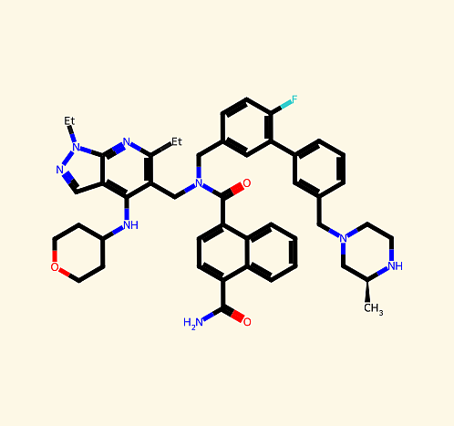 CCc1nc2c(cnn2CC)c(NC2CCOCC2)c1CN(Cc1ccc(F)c(-c2cccc(CN3CCN[C@@H](C)C3)c2)c1)C(=O)c1ccc(C(N)=O)c2ccccc12